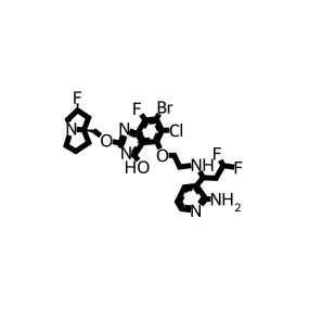 Nc1ncccc1C(CC(F)F)NCCOc1c(Cl)c(Br)c(F)c2nc(OC[C@@]34CCCN3C[C@H](F)C4)nc(O)c12